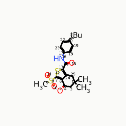 CC1(C)CC(=O)c2c(S(C)(=O)=O)sc(C(=O)Nc3ccc(C(C)(C)C)cc3)c2C1